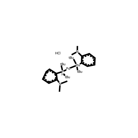 CN(C)c1ccccc1[PH]([Pd][PH](c1ccccc1N(C)C)(C(C)(C)C)C(C)(C)C)(C(C)(C)C)C(C)(C)C.Cl